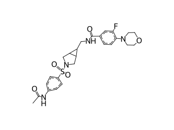 CC(=O)Nc1ccc(S(=O)(=O)N2CC3C(CNC(=O)c4ccc(N5CCOCC5)c(F)c4)C3C2)cc1